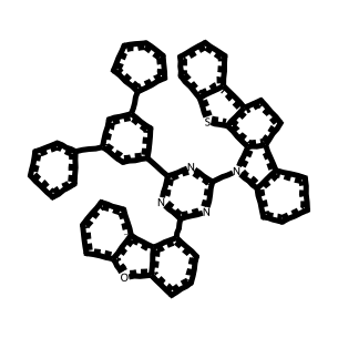 c1ccc(-c2cc(-c3ccccc3)cc(-c3nc(-c4cccc5oc6ccccc6c45)nc(-n4c5ccccc5c5ccc6c7ccccc7sc6c54)n3)c2)cc1